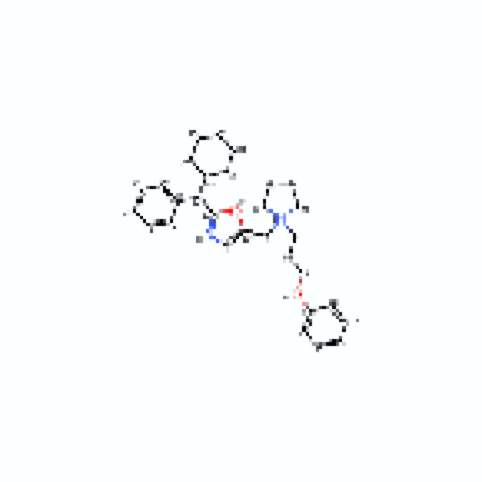 c1ccc(OCCC[N+]2(Cc3cnc(C(c4ccccc4)C4CCCCC4)o3)CCCC2)cc1